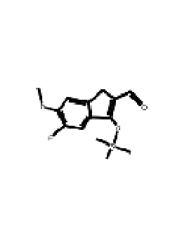 COc1cc2c(cc1F)C(O[Si](C)(C)C)=C(C=O)C2